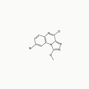 COc1nnc2c(Cl)nc3ccc(Br)cc3n12